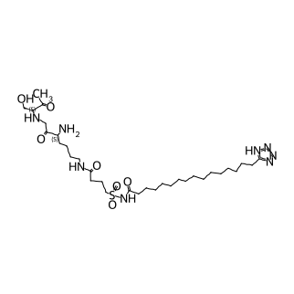 CC(=O)[C@H](CO)NCC(=O)[C@@H](N)CCCCNC(=O)CCCS(=O)(=O)NC(=O)CCCCCCCCCCCCCCCc1nnn[nH]1